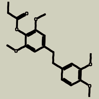 CCC(=O)Oc1c(OC)cc(CCc2ccc(OC)c(OC)c2)cc1OC